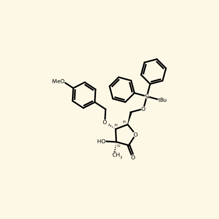 COc1ccc(CO[C@@H]2[C@@H](CO[Si](c3ccccc3)(c3ccccc3)C(C)(C)C)OC(=O)[C@@]2(C)O)cc1